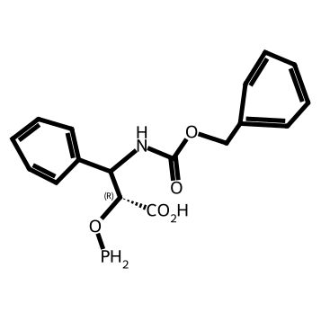 O=C(NC(c1ccccc1)[C@@H](OP)C(=O)O)OCc1ccccc1